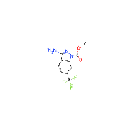 CCOC(=O)n1nc(N)c2ccc(C(F)(F)F)cc21